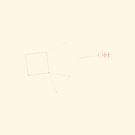 OC1CC2CCC23CC13